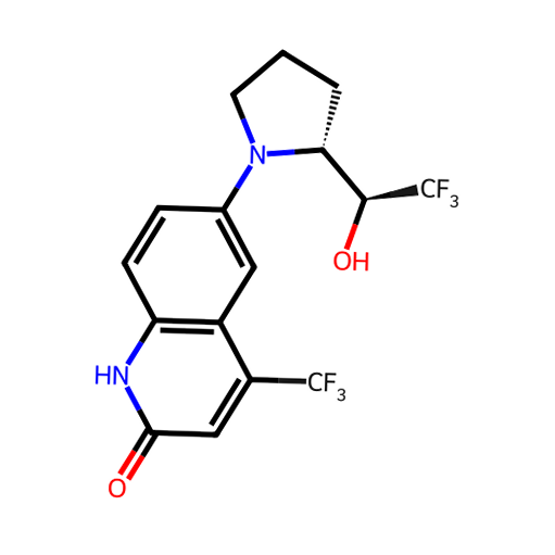 O=c1cc(C(F)(F)F)c2cc(N3CCC[C@@H]3[C@H](O)C(F)(F)F)ccc2[nH]1